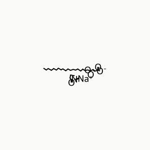 C=CN1CCCC1=O.CCCCCCCCCCCCCCCCCCOC(=O)/C=C/C(=O)[O-].[Na+]